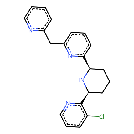 Clc1cccnc1[C@@H]1CCC[C@H](c2cccc(Cc3ccccn3)n2)N1